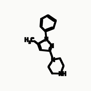 Cc1cc(N2CCNCC2)nn1-c1ccccc1